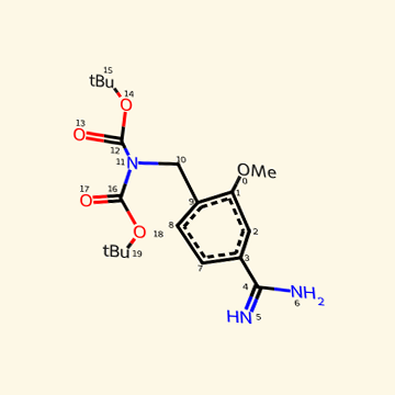 COc1cc(C(=N)N)ccc1CN(C(=O)OC(C)(C)C)C(=O)OC(C)(C)C